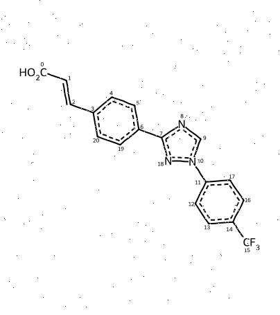 O=C(O)C=Cc1ccc(-c2ncn(-c3ccc(C(F)(F)F)cc3)n2)cc1